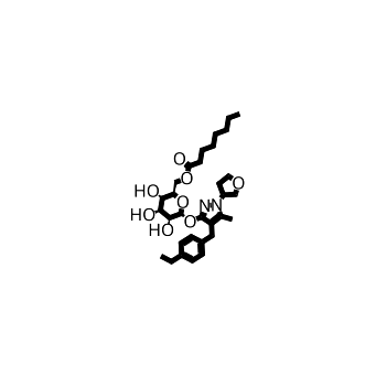 CCCCCCCC(=O)OC[C@H]1O[C@@H](Oc2nn(C3CCOC3)c(C)c2Cc2ccc(CC)cc2)[C@H](O)[C@@H](O)[C@@H]1O